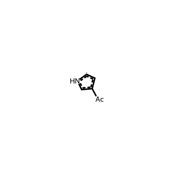 CC(=O)c1c[c][nH]c1